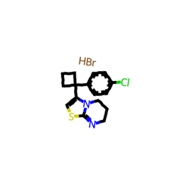 Br.Clc1ccc(C2(C3=CSC4=NCCCN34)CCC2)cc1